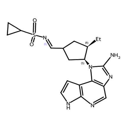 CC[C@@H]1CC(/C=N/S(=O)(=O)C2CC2)C[C@@H]1n1c(N)nc2cnc3[nH]ccc3c21